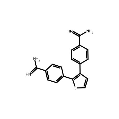 N=C(N)c1ccc(-c2ccsc2-c2ccc(C(=N)N)cc2)cc1